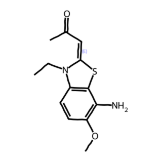 CCN1/C(=C\C(C)=O)Sc2c1ccc(OC)c2N